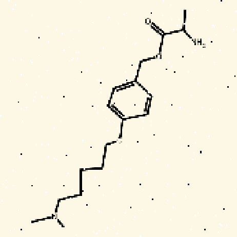 CC(N)C(=O)OCc1ccc(OCCCCCN(C)C)cc1